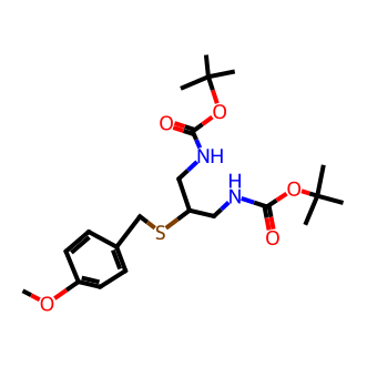 COc1ccc(CSC(CNC(=O)OC(C)(C)C)CNC(=O)OC(C)(C)C)cc1